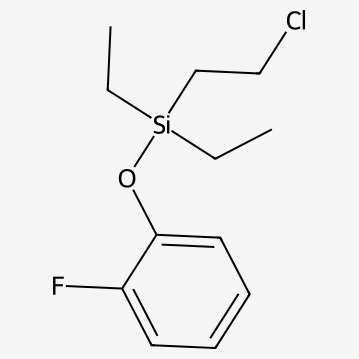 CC[Si](CC)(CCCl)Oc1ccccc1F